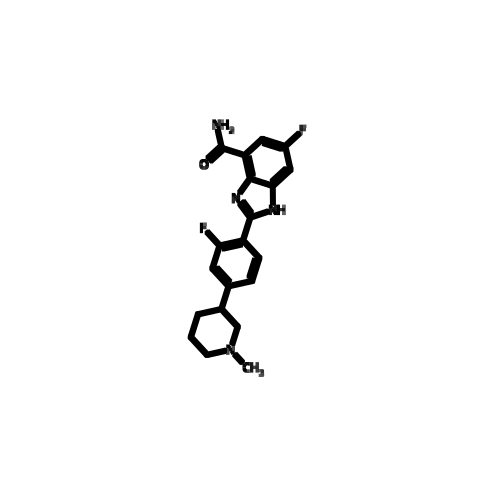 CN1CCCC(c2ccc(-c3nc4c(C(N)=O)cc(F)cc4[nH]3)c(F)c2)C1